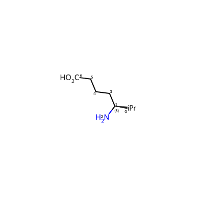 CC(C)[C@@H](N)CCCC(=O)O